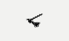 CCCCCCCCCCCC1=[N+](CC)CCN1CCO.CCOS(=O)(=O)[O-]